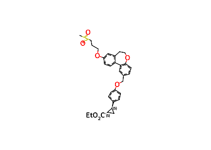 CCOC(=O)[C@H]1C[C@@H]1c1ccc(OCc2ccc3c(c2)-c2ccc(OCCCS(C)(=O)=O)cc2CCO3)cc1